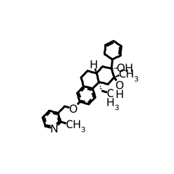 CC[C@@]12C[C@@](C)(O)[C@](O)(C3C=CC=CC3)C[C@H]1CCc1cc(OCc3cccnc3C)ccc12